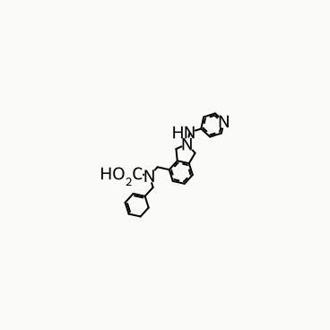 O=C(O)N(CC1=CC=CCC1)Cc1cccc2c1CN(Nc1ccncc1)C2